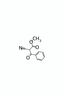 COC(=O)C(C#N)C(=O)c1ccccc1